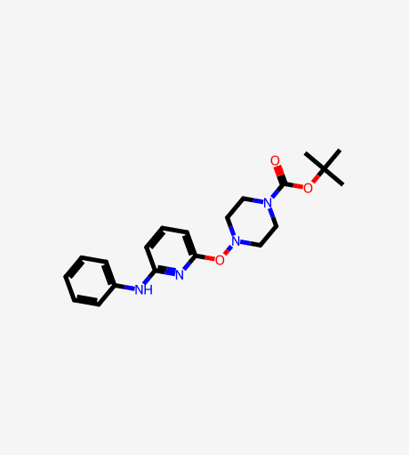 CC(C)(C)OC(=O)N1CCN(Oc2cccc(Nc3ccccc3)n2)CC1